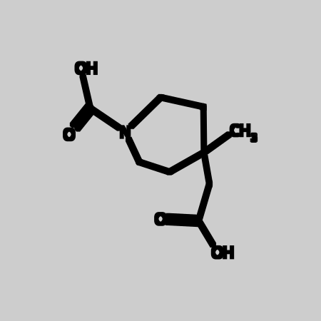 CC1(CC(=O)O)CCN(C(=O)O)CC1